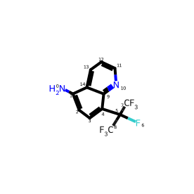 Nc1ccc(C(F)(C(F)(F)F)C(F)(F)F)c2ncccc12